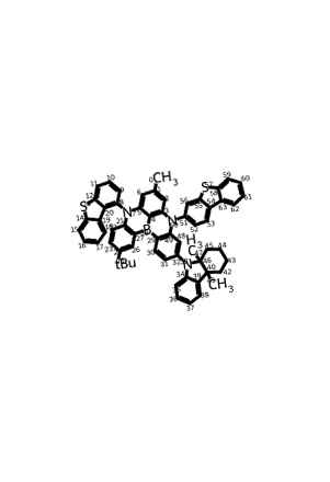 Cc1cc2c3c(c1)N(c1cccc4sc5ccccc5c14)c1ccc(C(C)(C)C)cc1B3c1ccc(N3c4ccccc4C4(C)CCCCC34C)cc1N2c1ccc2c(c1)sc1ccccc12